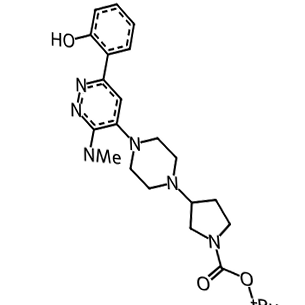 CNc1nnc(-c2ccccc2O)cc1N1CCN(C2CCN(C(=O)OC(C)(C)C)C2)CC1